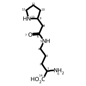 NC(CCCNC(=O)CC1CCCN1)C(=O)O